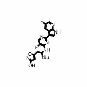 CC(C)(C)C(Cc1cc(O)no1)Nc1nc(-c2c[nH]c3ncc(F)cc23)ncc1F